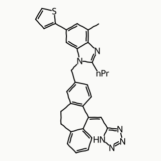 CCCc1nc2c(C)cc(-c3cccs3)cc2n1Cc1ccc2c(c1)CCc1ccccc1/C2=C\c1nnn[nH]1